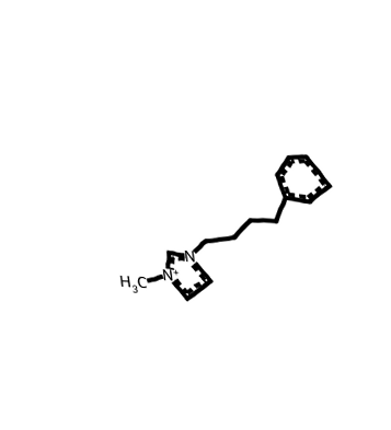 C[n+]1ccn(CCCCc2ccccc2)c1